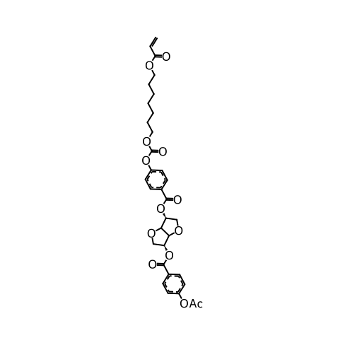 C=CC(=O)OCCCCCCCOC(=O)Oc1ccc(C(=O)O[C@H]2COC3C2OC[C@@H]3OC(=O)c2ccc(OC(C)=O)cc2)cc1